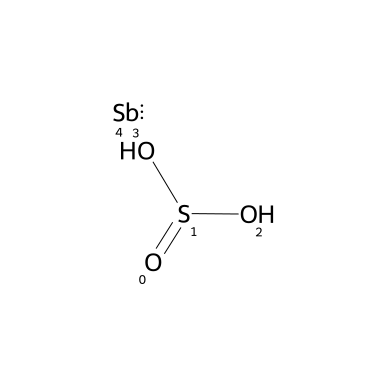 O=S(O)O.[Sb]